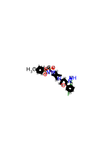 Cc1ccc(S(=O)(=O)N=S(C)(=O)N2CC3=C(CN([C@H]4CO[C@H](c5cc(F)ccc5F)[C@@H](N=N)C4)C3)C2)cc1